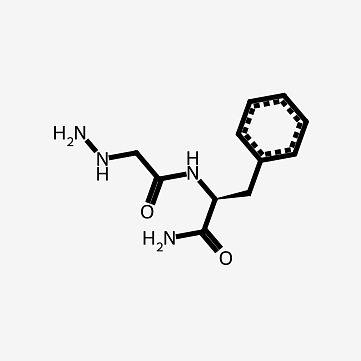 NNCC(=O)N[C@@H](Cc1ccccc1)C(N)=O